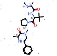 CN[C@@H](C)C(=O)N[C@H](C(=O)N1CCC[C@H]1CN(CCc1ccccc1)C(=O)[C@H](C)N)C(C)(C)C